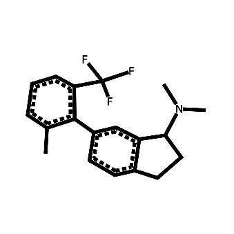 Cc1cccc(C(F)(F)F)c1-c1ccc2c(c1)C(N(C)C)CC2